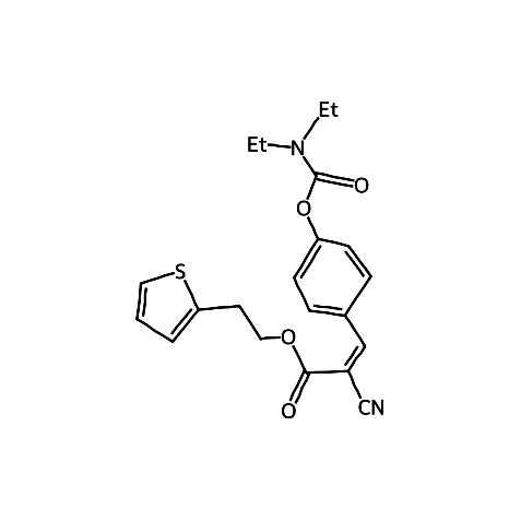 CCN(CC)C(=O)Oc1ccc(C=C(C#N)C(=O)OCCc2cccs2)cc1